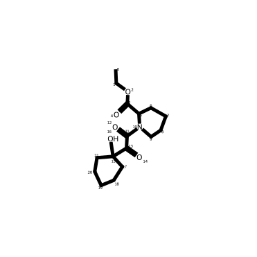 CCOC(=O)C1CCCCN1C(=O)C(=O)C1(O)CCCCC1